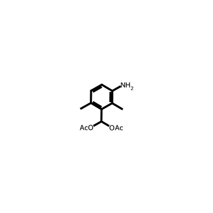 CC(=O)OC(OC(C)=O)c1c(C)ccc(N)c1C